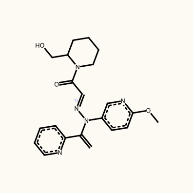 C=C(c1ccccn1)N(/N=C/C(=O)N1CCCCC1CO)c1ccc(OC)nc1